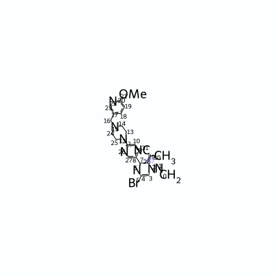 C=NN1C=C(Br)N=C(c2ccc(N3CCN(Cc4ccc(OC)nc4)CC3)nc2)/C1=C(/C)C#N